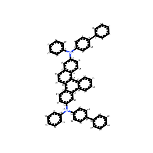 c1ccc(-c2ccc(N(c3ccccc3)c3ccc4c(ccc5c6ccc(N(c7ccccc7)c7ccc(-c8ccccc8)cc7)cc6c6ccccc6c45)c3)cc2)cc1